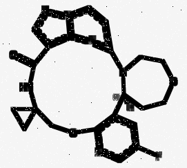 O=C1NC2(CC2)COc2ncc(F)cc2[C@H]2CCOCCN2c2ccn3ncc1c3n2